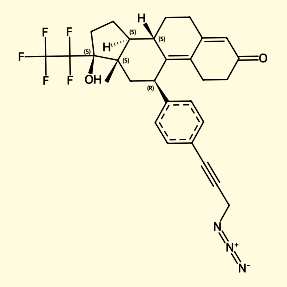 C[C@]12C[C@H](c3ccc(C#CCN=[N+]=[N-])cc3)C3=C4CCC(=O)C=C4CC[C@H]3[C@@H]1CC[C@@]2(O)C(F)(F)C(F)(F)F